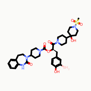 Bc1cc(C[C@@H](OC(=O)N2CCC(N3CCc4ccccc4NC3=O)CC2)C(=O)N2CCC(C3(O)CCN(S(C)(=O)=O)CC3)CC2)ccc1O